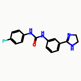 O=C(Nc1ccc(F)cc1)Nc1cccc(C2=NCCN2)c1